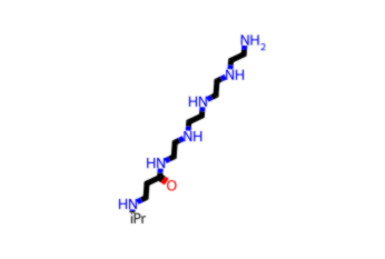 CC(C)NCCC(=O)NCCNCCNCCNCCN